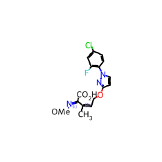 CO/N=C(C(=O)O)\C(C)=C/COc1ccn(-c2ccc(Cl)cc2F)n1